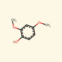 COc1c[c]c(O)c(OC)c1